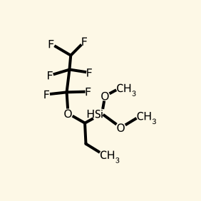 CCC(OC(F)(F)C(F)(F)C(F)F)[SiH](OC)OC